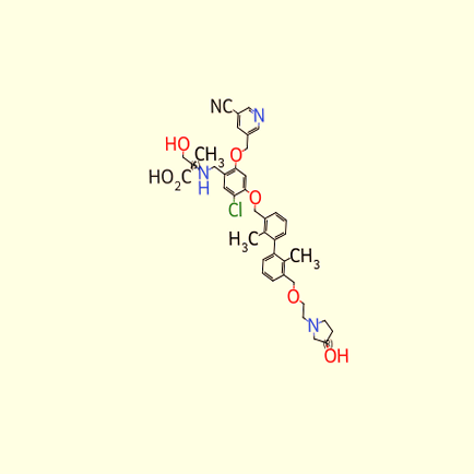 Cc1c(COCCN2CC[C@@H](O)C2)cccc1-c1cccc(COc2cc(OCc3cncc(C#N)c3)c(CN[C@@](C)(CO)C(=O)O)cc2Cl)c1C